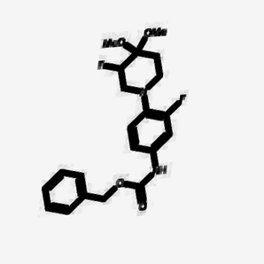 COC1(OC)CCN(c2ccc(NC(=O)OCc3ccccc3)cc2F)CC1F